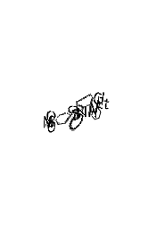 CCC1CCCCN1c1c(Cl)cccc1NS(=O)(=O)c1ccc(S(=O)(=O)N(C)C)cc1